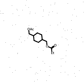 CCC(=O)OCC1CCC(COC(C)=O)CC1